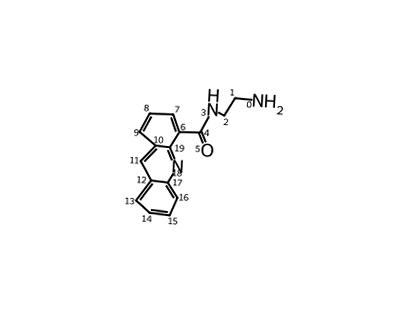 NCCNC(=O)c1cccc2cc3ccccc3nc12